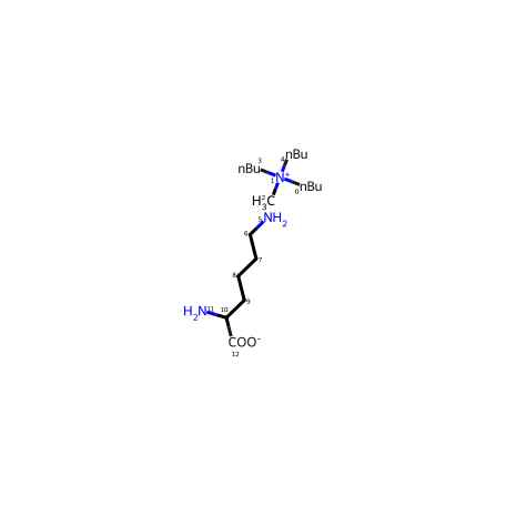 CCCC[N+](C)(CCCC)CCCC.NCCCCC(N)C(=O)[O-]